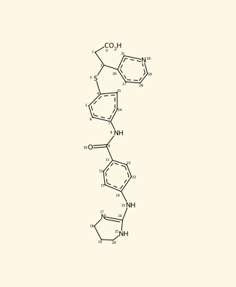 O=C(O)CC(Sc1ccc(NC(=O)c2ccc(NC3=NCCCN3)cc2)cc1)c1cccnc1